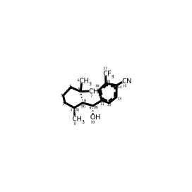 C[C@H]1CCCC(C)(C)[C@@H]1[C@@H](O)c1ccc(C#N)c(C(F)(F)F)c1